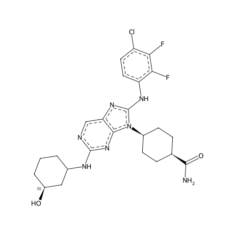 NC(=O)[C@H]1CC[C@@H](n2c(Nc3ccc(Cl)c(F)c3F)nc3cnc(NC4CCC[C@H](O)C4)nc32)CC1